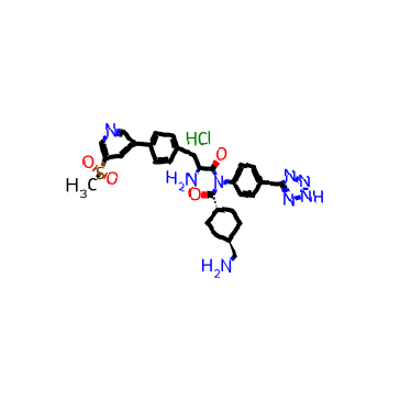 CS(=O)(=O)c1cncc(-c2ccc(C[C@H](N)C(=O)N(c3ccc(-c4nn[nH]n4)cc3)C(=O)[C@H]3CC[C@H](CN)CC3)cc2)c1.Cl